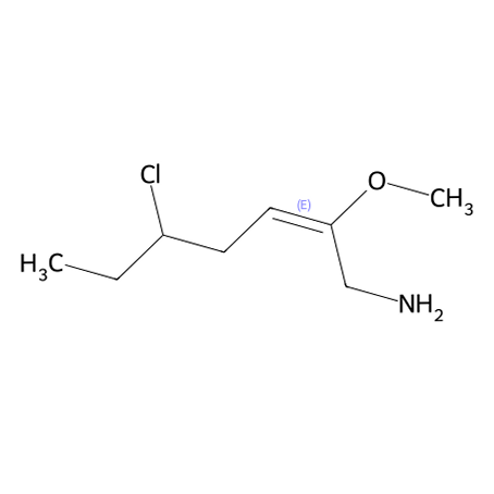 CCC(Cl)C/C=C(\CN)OC